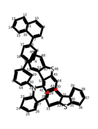 c1cc(-c2ccc(-c3cccc4ccccc34)cc2)cc(N(c2ccccc2-c2ccc3c(c2)sc2ccccc23)c2cccc3sc4ccccc4c23)c1